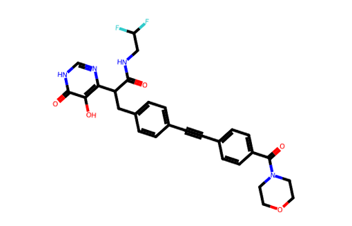 O=C(NCC(F)F)C(Cc1ccc(C#Cc2ccc(C(=O)N3CCOCC3)cc2)cc1)c1nc[nH]c(=O)c1O